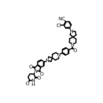 N#Cc1ccc(N2CCC3(CCN(C(=O)c4ccc(N5CCC6(CC5)CN(c5ccc7c(c5)C(=O)N(C5CCC(=O)NC5=O)C7=O)C6)cc4)CC3)C2)cc1Cl